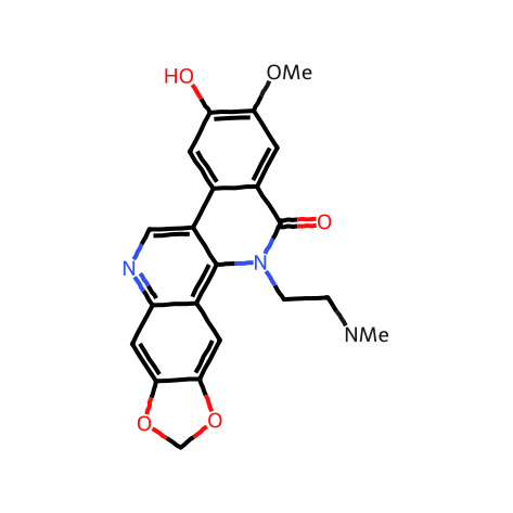 CNCCn1c(=O)c2cc(OC)c(O)cc2c2cnc3cc4c(cc3c21)OCO4